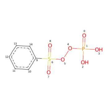 O=P(O)(O)OOS(=O)(=O)c1ccccc1